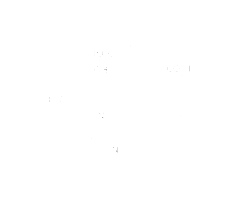 CC(O)n1cnc2ccccc21.O=C(O)C=CC(=O)O